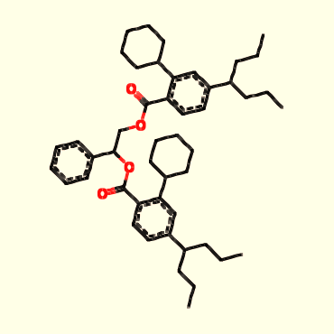 CCCC(CCC)c1ccc(C(=O)OCC(OC(=O)c2ccc(C(CCC)CCC)cc2C2CCCCC2)c2ccccc2)c(C2CCCCC2)c1